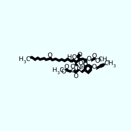 CC#CCOc1ccc(C[C@H](NC(=O)[C@@H](/C=C/CCCCCCC(=O)CCCCCCC)[C@@](O)(CC(=O)OCC(=O)OC)C(=O)O)C(=O)OCC(=O)OC)cc1